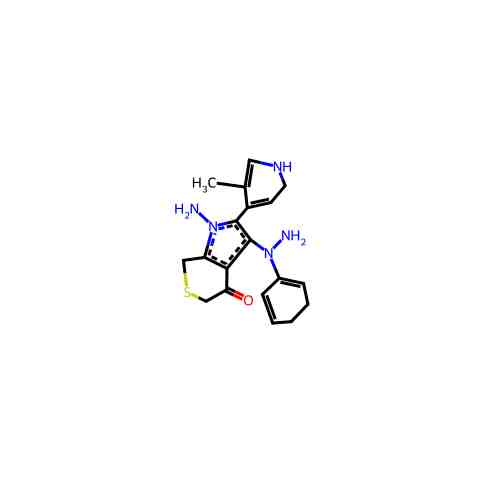 CC1=CNCC=C1c1c(N(N)C2=CCCC=C2)c2c(n1N)CSCC2=O